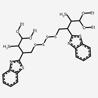 CCOC(OCC)C([SiH3])C(CSSSSCC(c1nc2ccccc2s1)C([SiH3])C(OCC)OCC)c1nc2ccccc2s1